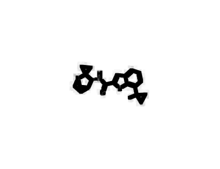 CC1(c2cccc3cc(C(=O)N[C@@H]4C5CCN(C5)C45CC5)sc23)CC1